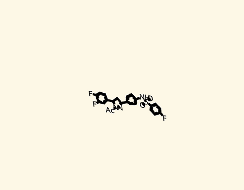 CC(=O)N1N=C(c2ccc(NS(=O)(=O)c3ccc(F)cc3)cc2)CC1c1ccc(F)c(F)c1